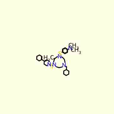 C=C1CN(Sc2ccc(N(C)C)cc2)CCCN(CC2CCCCC2)CCCN(SN2CC=C(C3=CCCCC3)CC2)C1